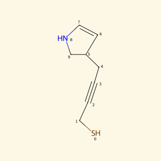 SCC#CCC1C=CNC1